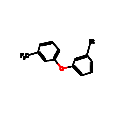 [CH2]Cc1cccc(Oc2cccc(C(F)(F)F)c2)c1